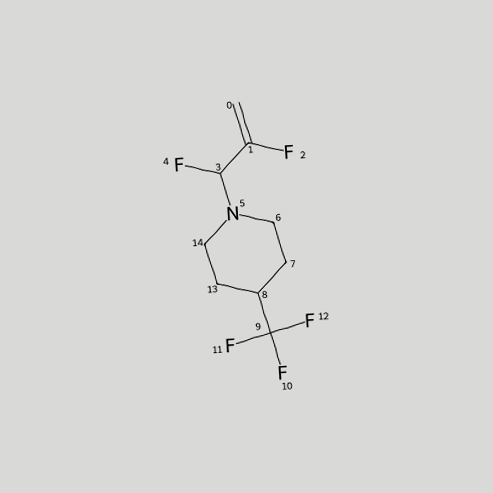 C=C(F)C(F)N1CCC(C(F)(F)F)CC1